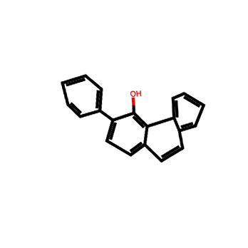 Oc1c(-c2ccccc2)ccc2ccc3ccccc3c12